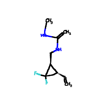 C=C[C@H]1[C@H](CNC(=C)NC)C1(F)F